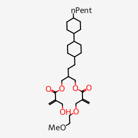 C=C(CO)C(=O)OCC(CCC1CCC(C2CCC(CCCCC)CC2)CC1)COC(=O)C(=C)COCCOC